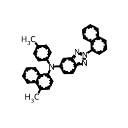 Cc1ccc(N(c2ccc3nn(-c4cccc5ccccc45)nc3c2)c2ccc(C)c3ccccc23)cc1